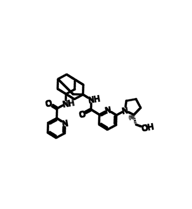 O=C(NC12CC3CC(C1)CC(NC(=O)c1cccc(N4CCC[C@@H]4CO)n1)(C3)C2)c1ccccn1